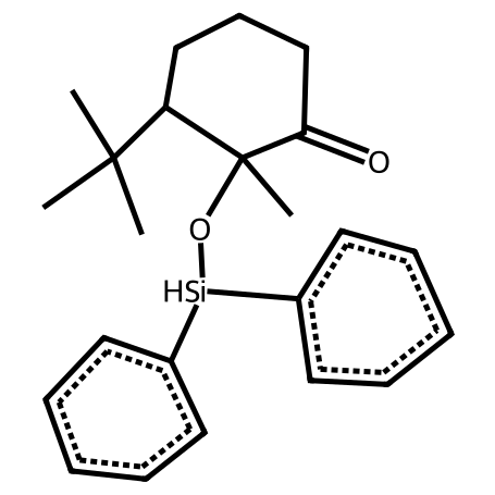 CC(C)(C)C1CCCC(=O)C1(C)O[SiH](c1ccccc1)c1ccccc1